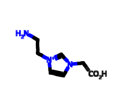 NCC[n+]1ccn(CC(=O)O)c1